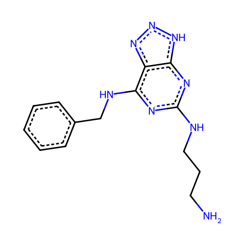 NCCCNc1nc(NCc2ccccc2)c2nn[nH]c2n1